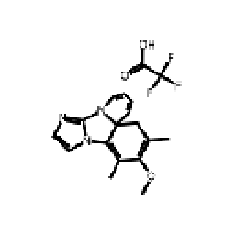 COC1=C(C)CC23C=CC=CN2c2nccn2C3=C1C.O=C(O)C(F)(F)F